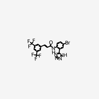 O=C(C=Cc1cc(C(F)(F)F)cc(C(F)(F)F)c1)Nc1ccc(Br)cc1-c1nnn[nH]1